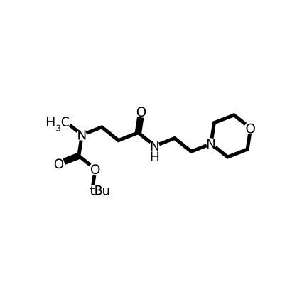 CN(CCC(=O)NCCN1CCOCC1)C(=O)OC(C)(C)C